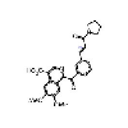 COc1cc2c(C(=O)O)cnc(C(=O)c3cccc(/C=C/C(=O)N4CCCC4)c3)c2cc1OC